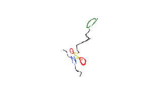 CCCN(CCC)S(=O)(=O)CCCCCCl